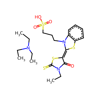 CCN(CC)CC.CCN1C(=O)C(=C2Sc3ccccc3N2CCCS(=O)(=O)O)SC1=S